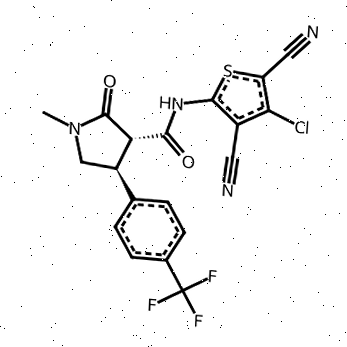 CN1C[C@H](c2ccc(C(F)(F)F)cc2)[C@@H](C(=O)Nc2sc(C#N)c(Cl)c2C#N)C1=O